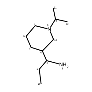 CCC(N)C1CCCN(C(C)C)C1